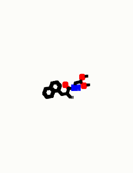 [CH2]C(Cc1cccc2ccccc12)C(=O)NCC(OC)OC